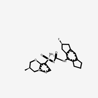 C[C@H]1COc2c([S@@](N)(=O)=NC(=O)Nc3c4c(cc5c3C[C@@H](F)C5)CCC4)cnn2C1